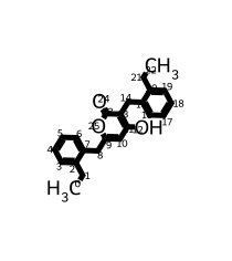 CCc1ccccc1Cc1cc(O)c(Cc2ccccc2CC)c(=O)o1